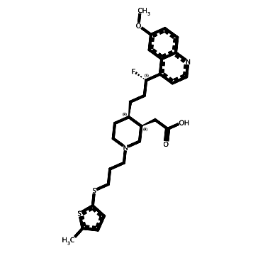 COc1ccc2nccc([C@@H](F)CC[C@@H]3CCN(CCCSc4ccc(C)s4)C[C@@H]3CC(=O)O)c2c1